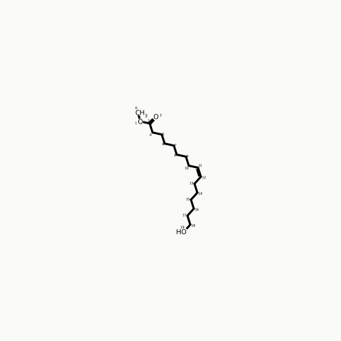 COC(=O)CCCCCCC/C=C\CCCCCCO